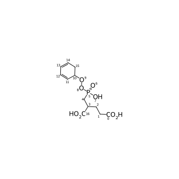 O=C(O)CCC(CP(=O)(O)OOC1C=CC=CC1)C(=O)O